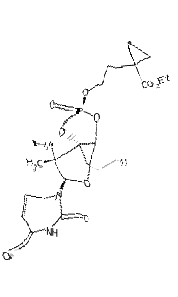 CCOC(=O)C1(CCO[P@@]2(=O)OC3[C@H]4O[C@@H](n5ccc(=O)[nH]c5=O)[C@](C)(N)[C@@]34O2)CC1